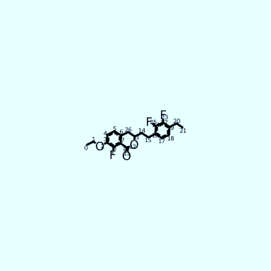 CCOc1ccc2c(c1F)C(=O)OC(CCc1ccc(CC)c(F)c1F)C2